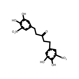 O=C(CCc1cc(O)c(O)c([N+](=O)[O-])c1)CCc1cc(O)c(O)c([N+](=O)[O-])c1